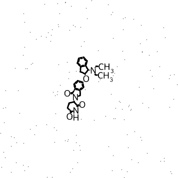 CCN(CC)[C@H]1c2ccccc2C[C@@H]1Oc1ccc2c(c1)CN(C1CCC(=O)NC1=O)C2=O